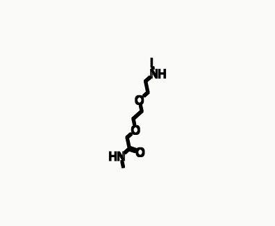 CNC(=O)COCCOCCNI